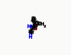 C=C1C=CC(C2CCc3ccccc32)=C2C=C=C(C(=O)C(=N)CCC3CCNCC3)SC2=C1